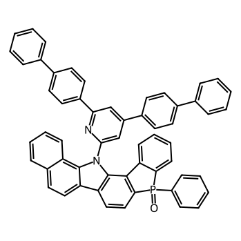 O=P1(c2ccccc2)c2ccccc2-c2c1ccc1c3ccc4ccccc4c3n(-c3cc(-c4ccc(-c5ccccc5)cc4)cc(-c4ccc(-c5ccccc5)cc4)n3)c21